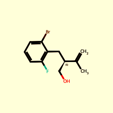 C=C(C)[C@@H](CO)Cc1c(F)cccc1Br